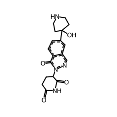 O=C1CCC(n2ncc3cc(C4(O)CCNCC4)ccc3c2=O)C(=O)N1